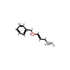 [SiH3]CC=COCc1ccccc1